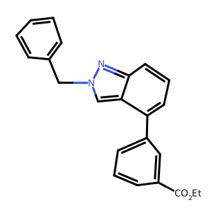 CCOC(=O)c1cccc(-c2cccc3nn(Cc4ccccc4)cc23)c1